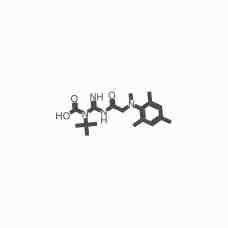 Cc1cc(C)c(N(C)CC(=O)NC(=N)N(C(=O)O)C(C)(C)C)c(C)c1